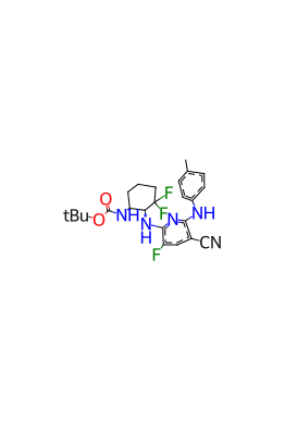 Cc1ccc(Nc2nc(N[C@H]3[C@@H](NC(=O)OC(C)(C)C)CCCC3(F)F)c(F)cc2C#N)cc1